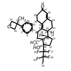 CC1(c2ccc([C@H]3C[C@@]4(C)[C@@H](CC[C@@]4(O)C(F)(F)C(F)(F)F)[C@@H]4CCC5=CC(=O)CCC5=C43)cc2)COC1